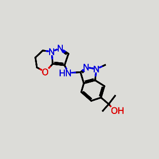 Cn1nc(Nc2cnn3c2OCCC3)c2ccc(C(C)(C)O)cc21